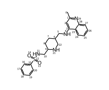 Cc1cc(NCC2CCC(CNS(=O)(=O)c3ccccc3)NC2)c2ccccc2n1